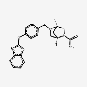 NC(=O)N1C[C@H]2C[C@@H]1CN2Cc1ccc(Oc2nc3ncccc3s2)cc1